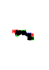 Cl.O=C(O)c1ccc(-c2ccc(CCNC[C@H](O)c3cccc(Cl)c3)cc2)cc1Cl